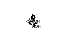 CCC(C(=O)O)n1ccc(=O)c(O)c1C(O)c1ccc(C)cc1